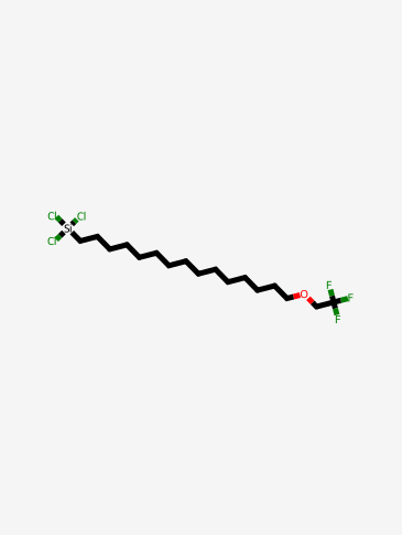 FC(F)(F)COCCCCCCCCCCCCCCC[Si](Cl)(Cl)Cl